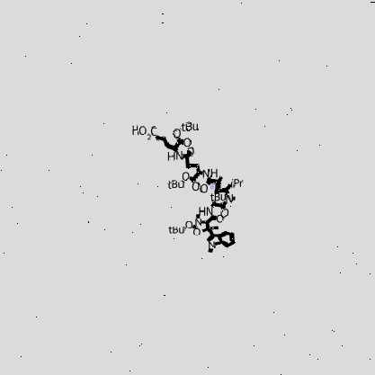 C/C(=C\C(C(C)C)N(C)C(=O)C(NC(=O)C(N(C)C(=O)OC(C)(C)C)C(C)(C)c1cn(C)c2ccccc12)C(C)(C)C)C(=O)NC(CCC(=O)NC(CCCC(=O)O)C(=O)OC(C)(C)C)C(=O)OC(C)(C)C